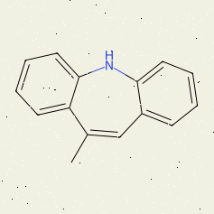 CC1=Cc2ccccc2Nc2ccccc21